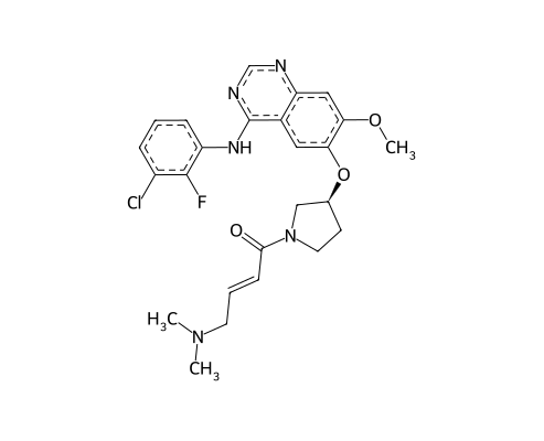 COc1cc2ncnc(Nc3cccc(Cl)c3F)c2cc1O[C@H]1CCN(C(=O)C=CCN(C)C)C1